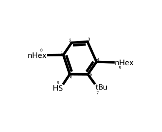 CCCCCCc1ccc(CCCCCC)c(C(C)(C)C)c1S